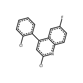 Fc1ccc2nc(Cl)cc(-c3ccccc3Cl)c2c1